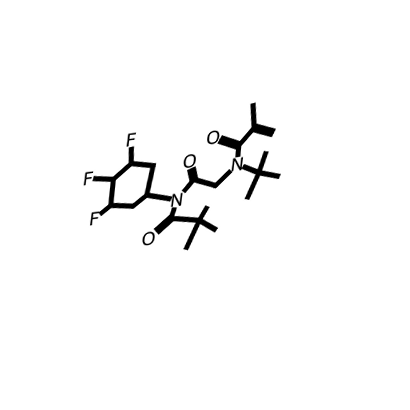 C=C(C)C(=O)N(CC(=O)N(C(=O)C(C)(C)C)C1CC(F)C(F)C(F)C1)C(C)(C)C